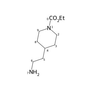 CCOC(=O)N1CCC(CCN)CC1